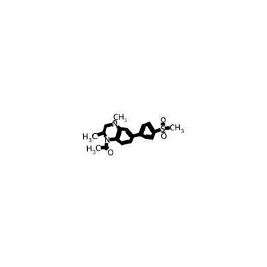 CC(=O)N1c2ccc(-c3ccc(S(C)(=O)=O)cc3)cc2N(C)CC1C